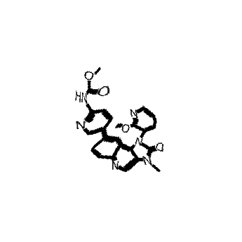 COC(=O)Nc1ccc(-c2ccc3ncc4c(c3c2)n(-c2cccnc2OC)c(=O)n4C)cn1